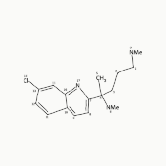 CNCCCC(C)(NC)c1ccc2ccc(Cl)cc2n1